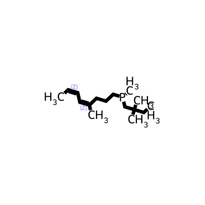 C/C=C\C=C(\C)CCCP(C)CC(C)(C)CC